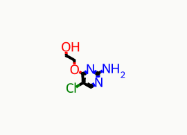 Nc1ncc(Cl)c(OCCO)n1